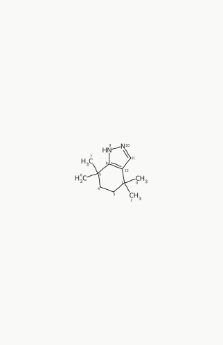 CC1(C)CCC(C)(C)c2[nH]ncc21